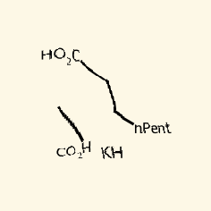 CC(=O)O.CCCCCCCC(=O)O.[KH]